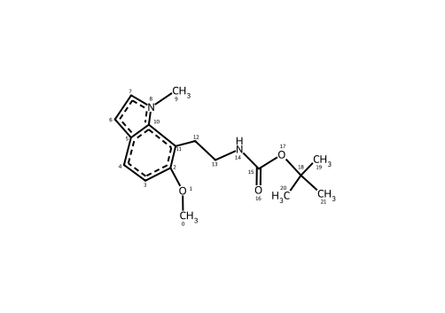 COc1ccc2ccn(C)c2c1CCNC(=O)OC(C)(C)C